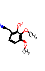 COc1ccc(C#N)c(O)c1OC